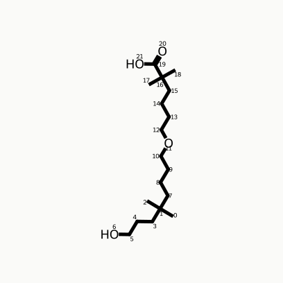 CC(C)(CCCO)CCCCOCCCCC(C)(C)C(=O)O